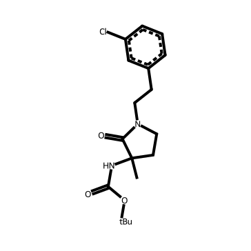 CC(C)(C)OC(=O)NC1(C)CCN(CCc2cccc(Cl)c2)C1=O